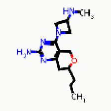 CCCC1Cc2nc(N)nc(N3CC(NC)C3)c2CO1